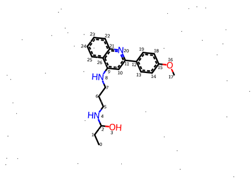 CCC(O)NCCCNc1cc(-c2ccc(OC)cc2)nc2ccccc12